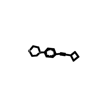 C(#CC1CCC1)c1ccc(N2CCOCC2)cc1